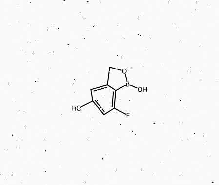 OB1OCc2cc(O)cc(F)c21